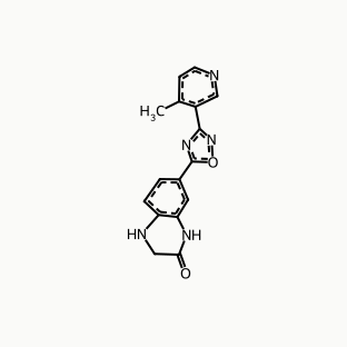 Cc1ccncc1-c1noc(-c2ccc3c(c2)NC(=O)CN3)n1